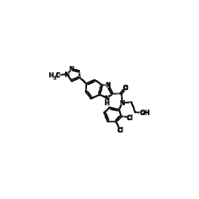 Cn1cc(-c2ccc3[nH]c(C(=O)N(CCO)c4cccc(Cl)c4Cl)nc3c2)cn1